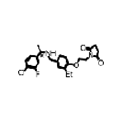 CCc1cc(CN[C@H](C)c2ccc(Cl)c(F)c2)ccc1OCCN1C(=O)CCC1=O